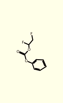 O=C(Oc1ccccc1)OC(F)CF